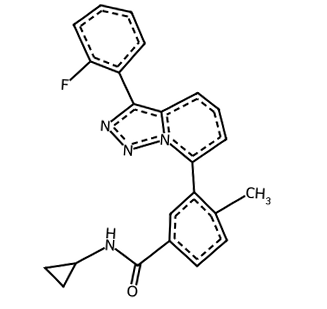 Cc1ccc(C(=O)NC2CC2)cc1-c1cccc2c(-c3ccccc3F)nnn12